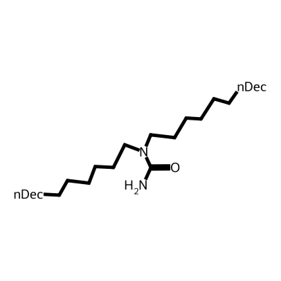 CCCCCCCCCCCCCCCCN(CCCCCCCCCCCCCCCC)C(N)=O